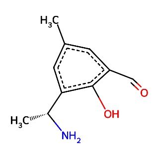 Cc1cc(C=O)c(O)c([C@@H](C)N)c1